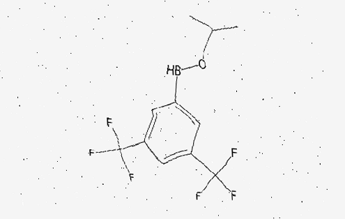 CC(C)OBc1cc(C(F)(F)F)cc(C(F)(F)F)c1